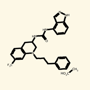 CC(=O)O.O=C(Nc1cccc2[nH]ncc12)NC1Cc2ccc(C(F)(F)F)cc2N(CCCc2ccccc2)C1